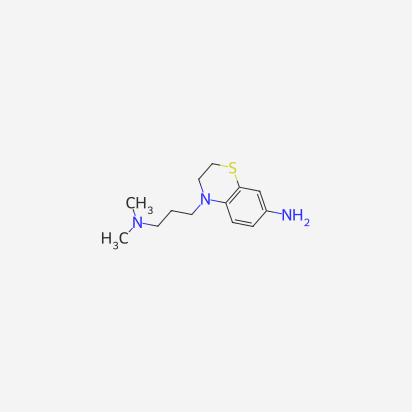 CN(C)CCCN1CCSc2cc(N)ccc21